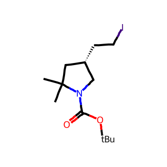 CC(C)(C)OC(=O)N1C[C@@H](CCI)CC1(C)C